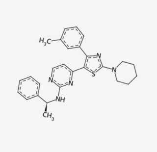 Cc1cccc(-c2nc(N3CCCCC3)sc2-c2ccnc(N[C@@H](C)c3ccccc3)n2)c1